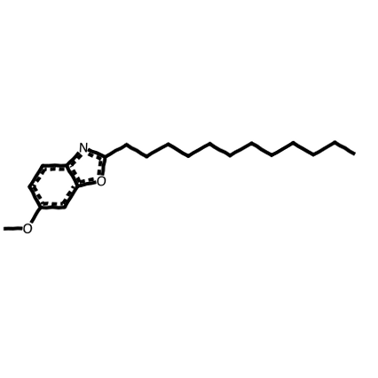 CCCCCCCCCCCCc1nc2ccc(OC)cc2o1